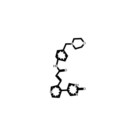 O=C(C=Cc1cnccc1-c1cnc(=O)[nH]c1)Nc1ccc(CN2CCOCC2)cc1